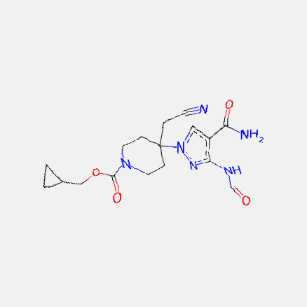 N#CCC1(n2cc(C(N)=O)c(NC=O)n2)CCN(C(=O)OCC2CC2)CC1